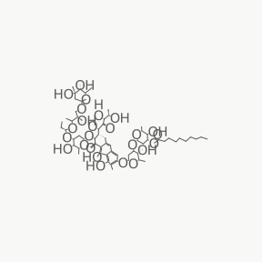 CCCCCCCCCC(=O)O[C@@H]1C[C@H](O[C@@H]2C[C@H](Oc3cc4cc5c(c(O)c4c(O)c3C)C(=O)[C@@H](O[C@H]3C[C@@H](O[C@@H](CC)OC(C)[C@H](O)CO[C@H]4C[C@](C)(O)[C@H](O)C(C)O4)[C@H](O)C(C)O3)[C@H]([C@H](OC)C(=O)[C@@H](O)[C@@H](C)O)C5)OC(C)[C@H]2O)OC(C)[C@H]1O